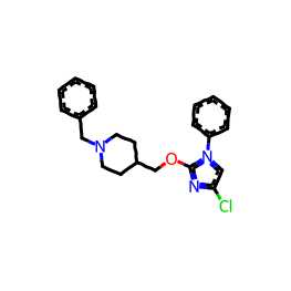 Clc1cn(-c2ccccc2)c(OCC2CCN(Cc3ccccc3)CC2)n1